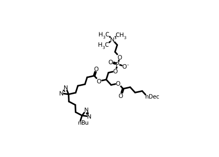 CCCCCCCCCCCCCC(=O)OCC(COP(=O)([O-])OCC[N+](C)(C)C)OC(=O)CCCCC1(CCCC2(CCCC)N=N2)N=N1